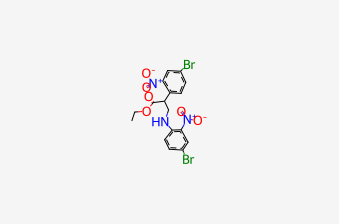 CCOC(=O)C(CNc1ccc(Br)cc1[N+](=O)[O-])c1ccc(Br)cc1[N+](=O)[O-]